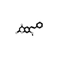 COc1cc2c(cc1C=Cc1ccccc1)C(=O)CC(=O)O2